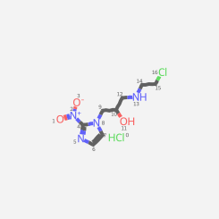 Cl.O=[N+]([O-])c1nccn1CC(O)CNCCCl